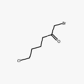 O=C(CBr)CCCCCl